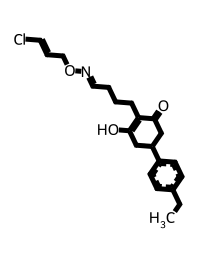 CCc1ccc(C2CC(=O)C(CCCC=NOCC=CCl)=C(O)C2)cc1